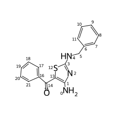 Nc1nc(NCc2ccccc2)sc1C(=O)c1ccccc1